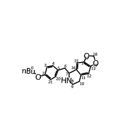 CCCCOc1ccc(CC2NCCc3cc4c(cc32)OCO4)cc1